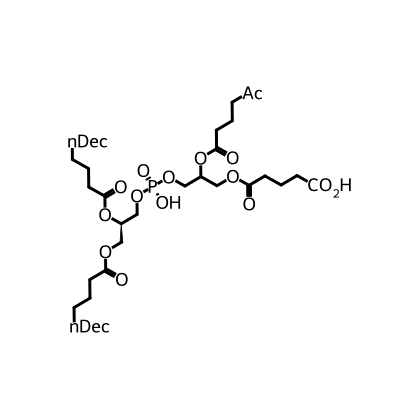 CCCCCCCCCCCCCC(=O)OC[C@H](COP(=O)(O)OCC(COC(=O)CCCC(=O)O)OC(=O)CCCC(C)=O)OC(=O)CCCCCCCCCCCCC